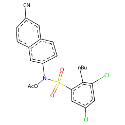 CCCCc1c(Cl)cc(Cl)cc1S(=O)(=O)N(OC(C)=O)c1ccc2cc(C#N)ccc2c1